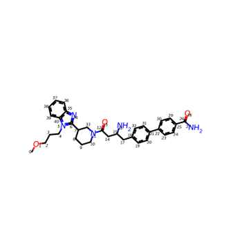 COCCCn1c(C2CCCN(C(=O)CC(N)Cc3ccc(-c4ccc(C(N)=O)cc4)cc3)C2)nc2ccccc21